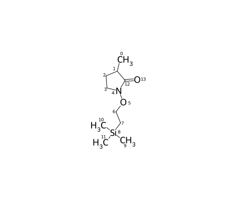 CC1CCN(OCC[Si](C)(C)C)C1=O